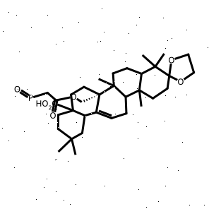 CC1(C)CCC2(C(=O)O)CC[C@]3(COC(=O)CP=O)C(=CCC4C5(C)CCC6(OCCO6)C(C)(C)C5CCC43C)C2C1